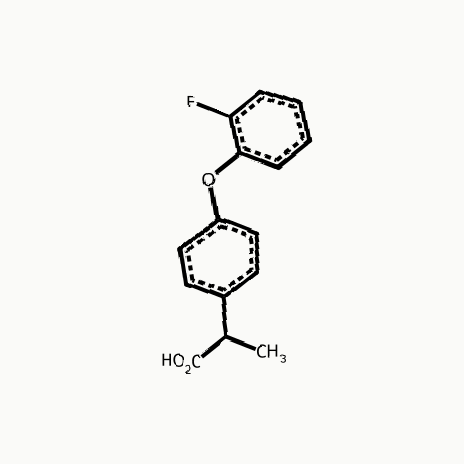 CC(C(=O)O)c1ccc(Oc2ccccc2F)cc1